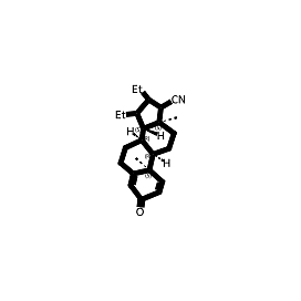 CCC1C(CC)[C@H]2[C@@H]3CCC4=CC(=O)C=C[C@]4(C)[C@@H]3CC[C@]2(C)C1C#N